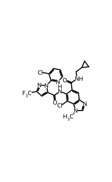 Cn1cnc2cc(C(=O)NCC3CC3)c(NC(=O)c3cc(C(F)(F)F)nn3-c3ncccc3Cl)c(Cl)c21